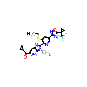 CCSc1cc(-c2noc(C3(C(F)(F)F)CC3)n2)cnc1-c1nc2cc(C(=O)C3CC3)nnc2n1C